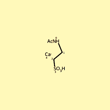 CC(=O)NCCS(=O)(=O)O.[Ca]